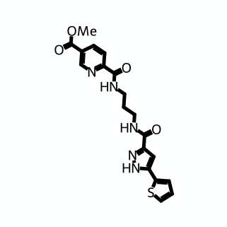 COC(=O)c1ccc(C(=O)NCCCNC(=O)c2cc(-c3cccs3)[nH]n2)nc1